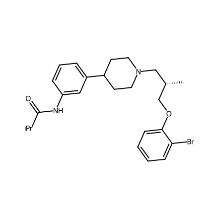 CC(C)C(=O)Nc1cccc(C2CCN(C[C@H](C)COc3ccccc3Br)CC2)c1